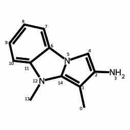 Cc1c(N)cn2c3ccccc3n(C)c12